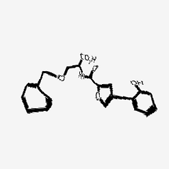 O=C(NC(COCc1ccccc1)C(=O)O)c1cc(-c2ccccc2O)co1